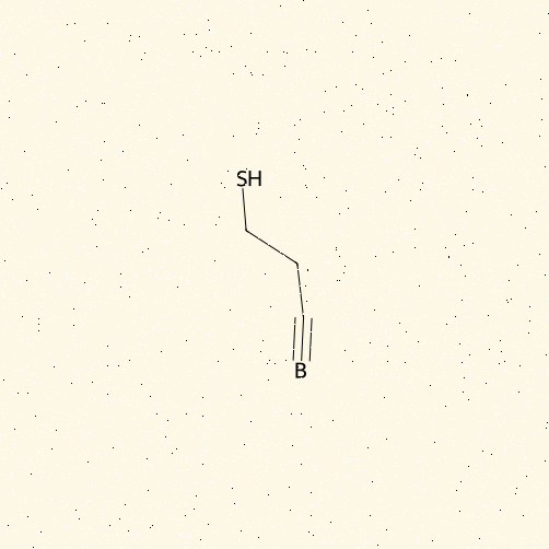 B#CCCS